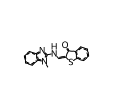 Cn1c(NC=C2Sc3ccccc3C2=O)nc2ccccc21